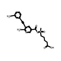 CS(=O)(CCCCC(=O)O)=NC(=O)c1cnc(N)c(C#Cc2cccc(N)c2)c1